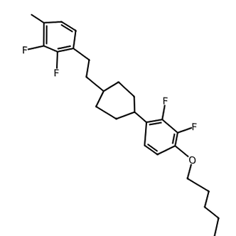 CCCCCOc1ccc(C2CCC(CCc3ccc(C)c(F)c3F)CC2)c(F)c1F